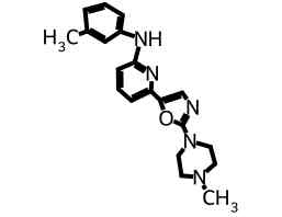 Cc1cccc(Nc2cccc(-c3cnc(N4CCN(C)CC4)o3)n2)c1